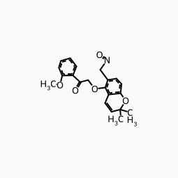 COc1ccccc1C(=O)COc1c(CN=O)ccc2c1C=CC(C)(C)O2